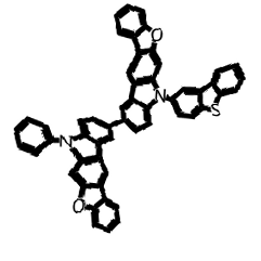 c1ccc(-n2c3ccc(-c4ccc5c(c4)c4cc6c(cc4n5-c4ccc5sc7ccccc7c5c4)oc4ccccc46)cc3c3cc4c(cc32)oc2ccccc24)cc1